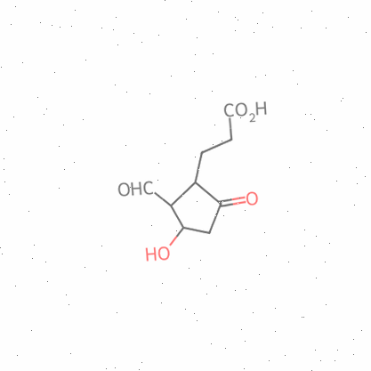 O=CC1C(O)CC(=O)C1CCC(=O)O